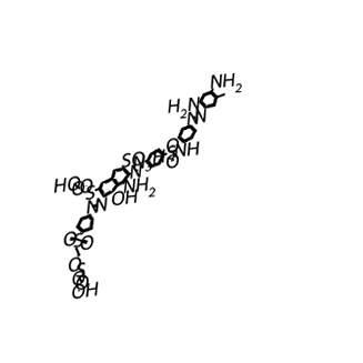 Cc1cc(/N=N/c2ccc(NS(=O)(=O)c3ccc(/N=N/c4c(S(=O)(=O)O)cc5cc(SOOO)c(/N=N/c6ccc(S(=O)(=O)CCOSOOO)cc6)c(O)c5c4N)cc3)cc2)c(N)cc1N